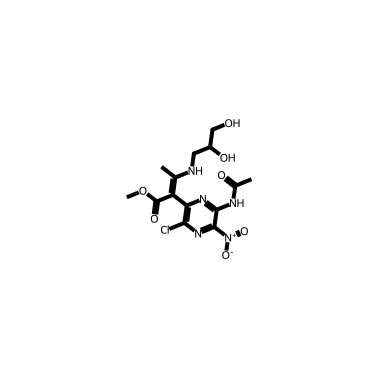 COC(=O)C(=C(C)NCC(O)CO)c1nc(NC(C)=O)c([N+](=O)[O-])nc1Cl